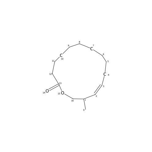 CC1C=CCCCCCCCCCC(=O)OC1